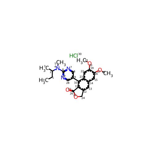 CCC(C)N(C)c1ncc(-c2c3c(cc4cc(OC)c(OC)cc24)COC3=O)cn1.Cl